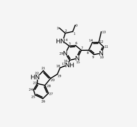 CCC(C)Nc1cc(-c2cncc(C)c2)nc(NCCc2c[nH]c3ccccc23)n1